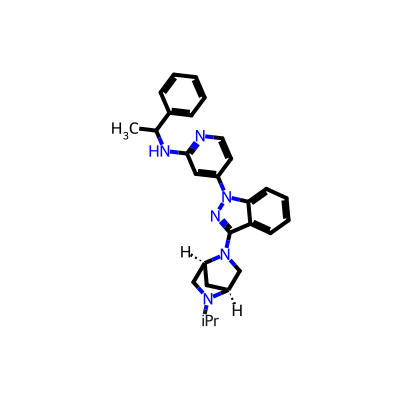 CC(Nc1cc(-n2nc(N3C[C@@H]4C[C@H]3CN4C(C)C)c3ccccc32)ccn1)c1ccccc1